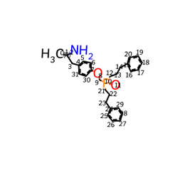 C[C@@H](N)Cc1ccc(OCP(=O)(CCCc2ccccc2)CCCc2ccccc2)cc1